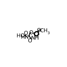 COc1ccc2c(c1)OCC(NC(=O)O)C(=O)N2